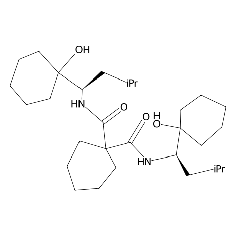 CC(C)C[C@@H](NC(=O)C1(C(=O)N[C@H](CC(C)C)C2(O)CCCCC2)CCCCC1)C1(O)CCCCC1